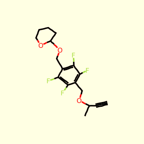 C#CC(C)OCc1c(F)c(F)c(COC2CCCCO2)c(F)c1F